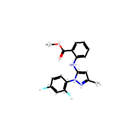 COC(=O)c1ccccc1Nc1cc(C)nn1-c1ccc(F)cc1F